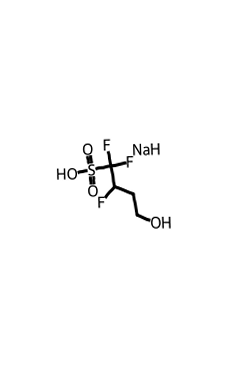 O=S(=O)(O)C(F)(F)C(F)CCO.[NaH]